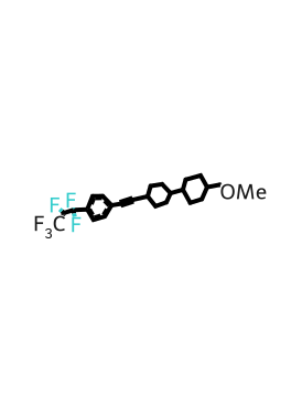 COCC1CCC(C2CCC(C#Cc3ccc(C(F)(F)C(F)C(F)(F)F)cc3)CC2)CC1